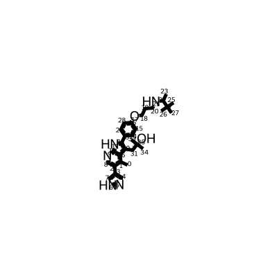 Cc1c(-c2cn[nH]c2)cnc2[nH]c(-c3ccc(OCCCNC(C)C(C)(C)C)cc3)c(CC(C)(C)O)c12